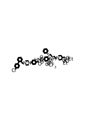 CCOP(=O)(CC1CCN(CC[C@H](CSc2ccccc2)Nc2ccc(S(=O)(=O)NC(=O)c3ccc(N4CCN(Cc5ccccc5-c5ccc(Cl)cc5)CC4)cc3)cc2S(=O)(=O)C(F)(F)F)CC1)OCC